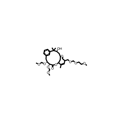 CCC(/C=C(/C)C1CC(=O)C[C@H](O)C(C)(C)c2cccc(c2)C[C@@H](OCOC)[C@H](OCOC)C(=O)O1)COCOCCOC